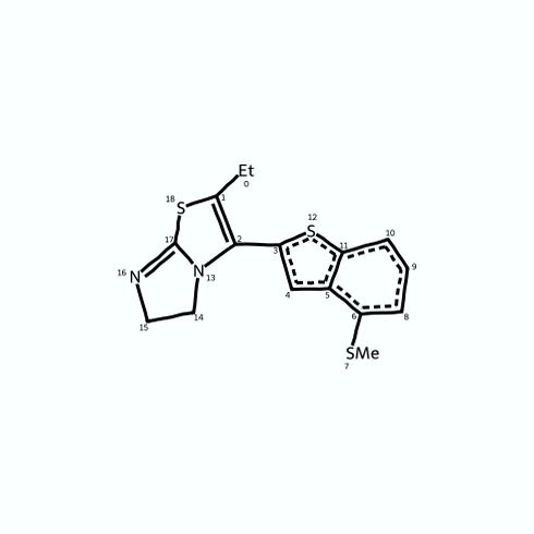 CCC1=C(c2cc3c(SC)cccc3s2)N2CCN=C2S1